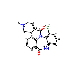 CN1CC=C(C(=O)N2c3ccccc3C(=O)Nc3cccc(Cl)c32)CC1